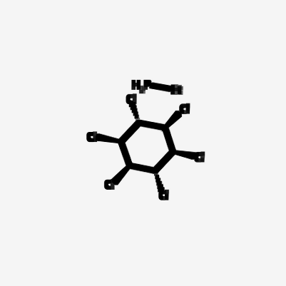 CCP.Cl[C@H]1[C@H](Cl)[C@@H](Cl)[C@@H](Cl)[C@H](Cl)[C@H]1Cl